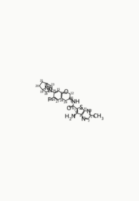 Cc1cnc2c(N)c(C(=O)N[C@@H]3COc4cc(N5CC6CCC(C5)N6)c(F)cc4C3)sc2n1